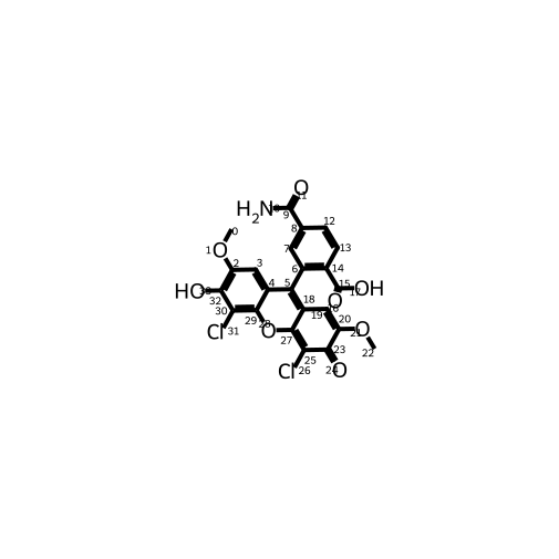 COc1cc2c(-c3cc(C(N)=O)ccc3C(=O)O)c3cc(OC)c(=O)c(Cl)c-3oc2c(Cl)c1O